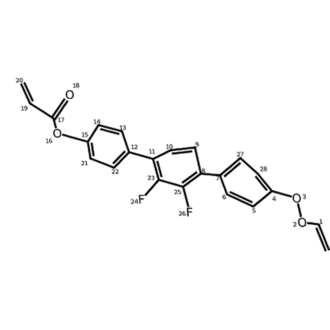 C=COOc1ccc(-c2ccc(-c3ccc(OC(=O)C=C)cc3)c(F)c2F)cc1